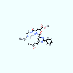 CCOC(=O)N1CCN(C(=O)C(CCC(=O)OC(C)(C)C)NC(=O)c2cc(CC[C@@H](O)CC)nc(-c3ccccc3)n2)CC1